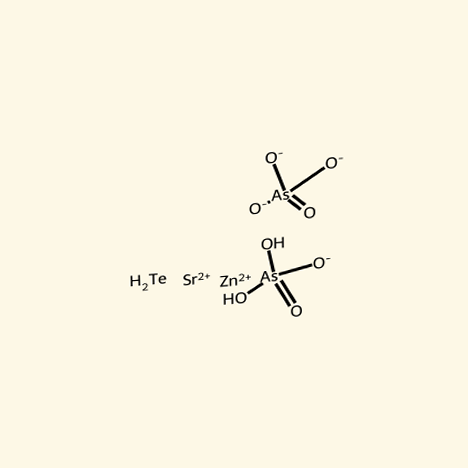 O=[As]([O-])(O)O.O=[As]([O-])([O-])[O-].[Sr+2].[TeH2].[Zn+2]